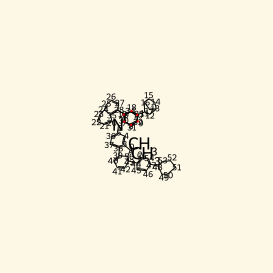 CC1(C)c2cc(N(c3ccc(C4CC5CCC4C5)cc3)c3cccc4cccc(C5CCCCC5)c34)ccc2-c2cccc(-c3ccc(C4CCCCC4)cc3)c21